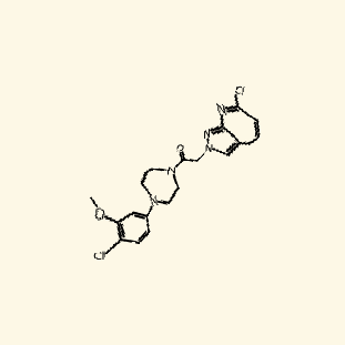 COc1cc(N2CCN(C(=O)Cn3cc4ccc(Cl)nc4n3)CC2)ccc1Cl